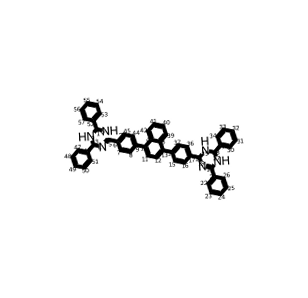 NC(NC(/N=C/c1ccc(-c2ccc(-c3ccc(C4N=C(c5ccccc5)NC(c5ccccc5)N4)cc3)c3ccccc23)cc1)c1ccccc1)c1ccccc1